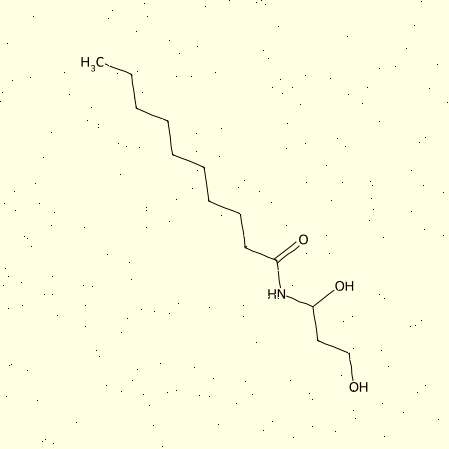 CCCCCCCCCC(=O)NC(O)CCO